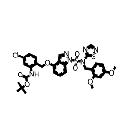 COc1ccc(CN(c2ncns2)S(=O)(=O)n2ncc3c(OCc4ccc(Cl)cc4NC(=O)OC(C)(C)C)cccc32)c(OC)c1